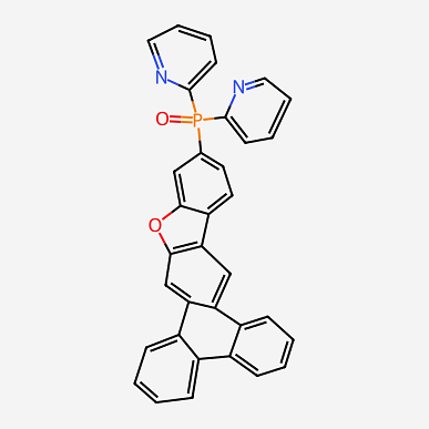 O=P(c1ccc2c(c1)oc1cc3c4ccccc4c4ccccc4c3cc12)(c1ccccn1)c1ccccn1